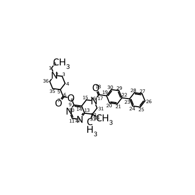 CCN1CCC(C(=O)Oc2ncnc3c2CN(C(=O)c2ccc(-c4ccccc4)cc2)CC3(C)C)CC1